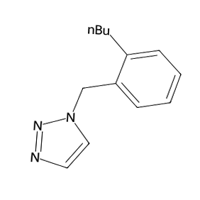 CCCCc1ccccc1Cn1ccnn1